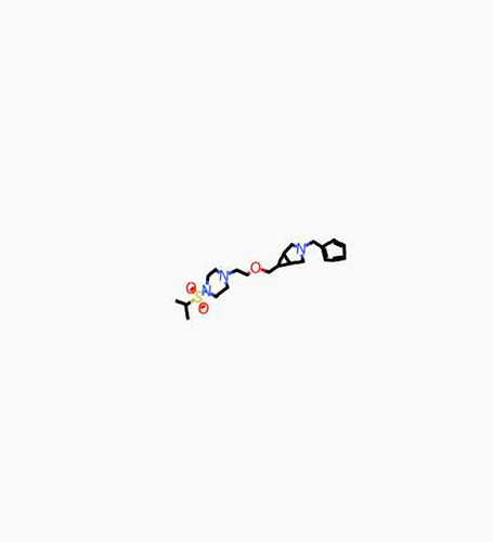 CC(C)S(=O)(=O)N1CCN(CCOCC2C3CN(Cc4ccccc4)CC23)CC1